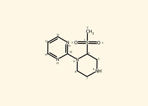 CS(=O)(=O)C1CNCCN1c1ncccn1